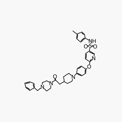 Cc1ccc(NS(=O)(=O)c2ccc(Oc3ccc(N4CCC(CC(=O)N5CCN(Cc6ccccc6)CC5)CC4)cc3)nc2)cc1